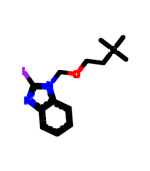 C[Si](C)(C)CCOCn1c(I)nc2ccccc21